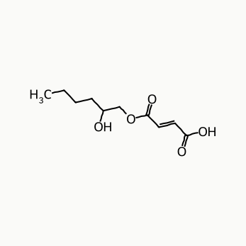 CCCCC(O)COC(=O)C=CC(=O)O